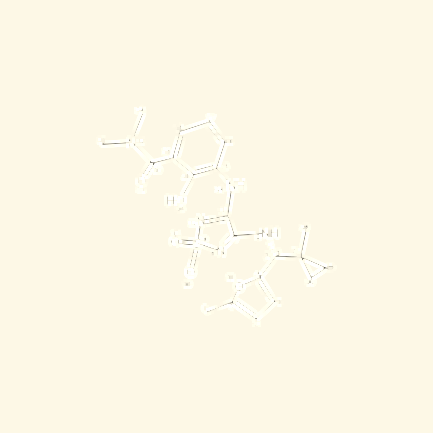 Cc1ccc([C@H](NC2=NS(=O)(=O)N=C2Nc2cccc(C(=O)N(C)C)c2O)C2(C)CC2)o1